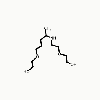 CC([CH]CCOCCO)NCCOCCO